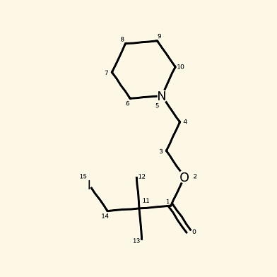 C=C(OCCN1CCCCC1)C(C)(C)CI